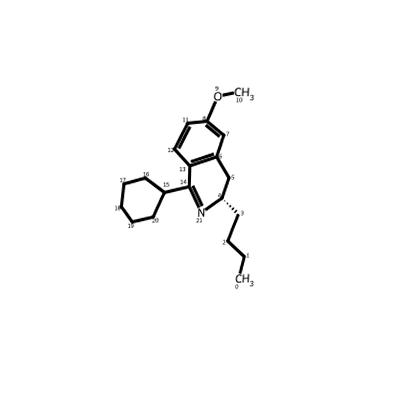 CCCC[C@H]1Cc2cc(OC)ccc2C(C2CCCCC2)=N1